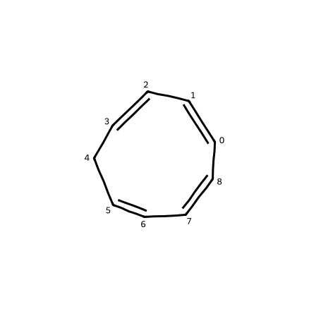 C1=C\C=C/C/C=C\C=C/1